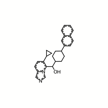 OC(c1c(C2CC2)ccc2cncn12)C1CCC(c2ccc3ccccc3c2)CC1